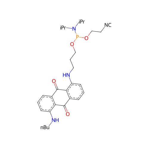 [C-]#[N+]CCOP(OCCCNc1cccc2c1C(=O)c1cccc(NCCCC)c1C2=O)N(C(C)C)C(C)C